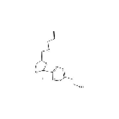 C=CCOCC1COC(C)(c2ccc(CCO)cc2)O1